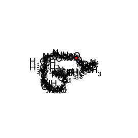 CCCC(c1ccc(CCC(=O)N2CCC(CN3CCC(C(=O)Nc4ncc(SCc5ncc(C(C)(C)CCC(C)(C)c6cnc(CSc7cnc(NC(=O)C8CCN(C9CCN(C(=O)COc%10ccc(C(CCC)N(C(=O)/C(C#N)=C/c%11nccs%11)C(C)C)cc%10)CC9)CC8)s7)o6)o5)s4)CC3)CC2)cc1)N(C)C(=O)/C(C#N)=C/c1nccs1